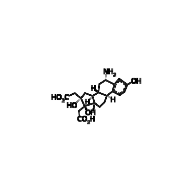 C[C@]12CC[C@@H]3c4ccc(O)cc4[C@@H](N)C[C@H]3[C@@H]1C[C@](O)(CC(=O)O)[C@@]2(O)CC(=O)O